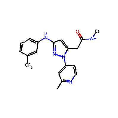 CCNC(=O)Cc1cc(Nc2cccc(C(F)(F)F)c2)nn1-c1ccnc(C)c1